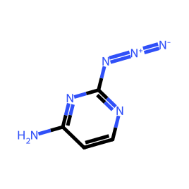 [N-]=[N+]=Nc1nccc(N)n1